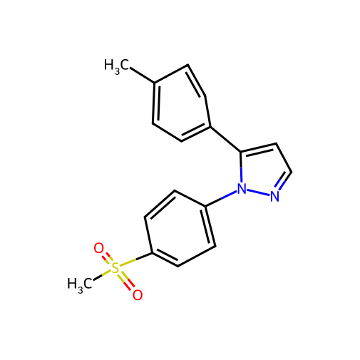 Cc1ccc(-c2ccnn2-c2ccc(S(C)(=O)=O)cc2)cc1